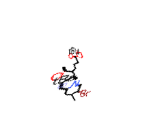 C=C(/C=C\C1CC(C)C(Br)C=N1)C(CCCC(=O)OC(C)(C)C)C(=C)OC(C)(C)C